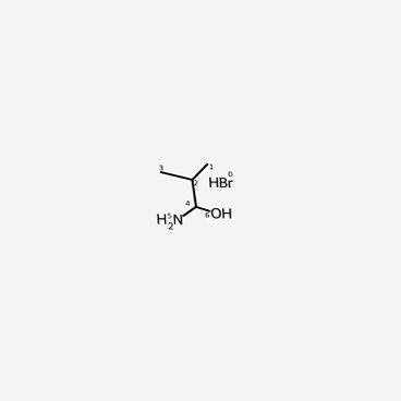 Br.CC(C)C(N)O